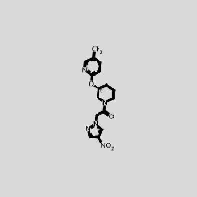 O=C(Cn1cc([N+](=O)[O-])cn1)N1CCC[C@H](Oc2ccc(C(F)(F)F)cn2)C1